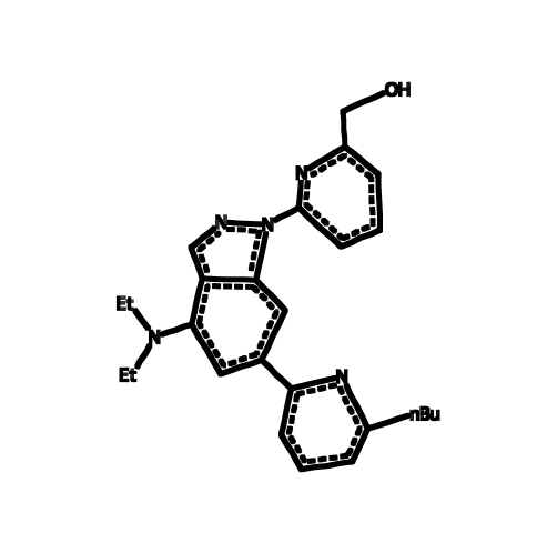 CCCCc1cccc(-c2cc(N(CC)CC)c3cnn(-c4cccc(CO)n4)c3c2)n1